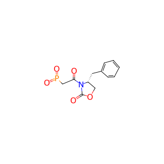 O=C(CP(=O)=O)N1C(=O)OC[C@H]1Cc1ccccc1